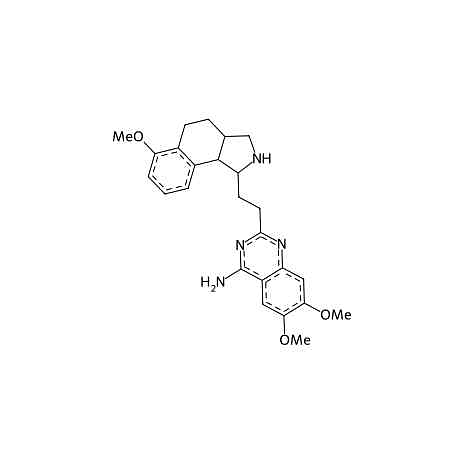 COc1cc2nc(CCC3NCC4CCc5c(OC)cccc5C43)nc(N)c2cc1OC